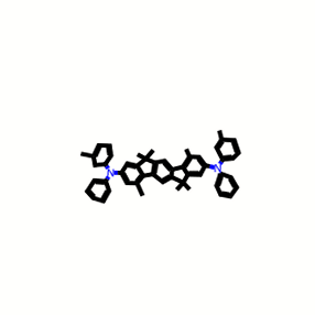 CC1=CC=CC(N(c2ccccc2)c2cc(C)c3c(c2)C(C)(C)c2cc4c(cc2-3)C(C)(C)c2cc(N(c3ccccc3)c3cccc(C)c3)cc(C)c2-4)C1